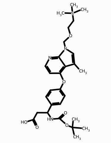 Cc1cn(COCCS(C)(C)C)c2nccc(Oc3ccc(C(CC(=O)O)NC(=O)OC(C)(C)C)cc3)c12